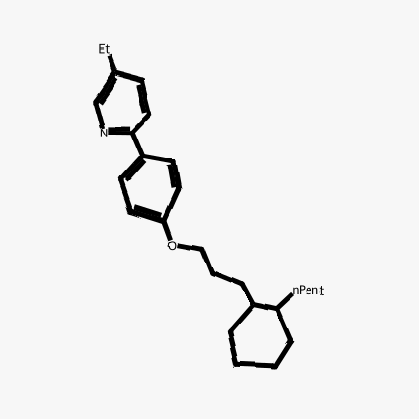 CCCCCC1CCCCC1CCCOc1ccc(-c2ccc(CC)cn2)cc1